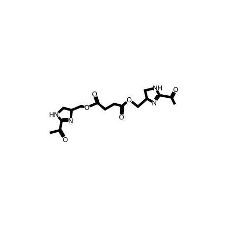 CC(=O)C1=NC(COC(=O)CCC(=O)OCC2CNC(C(C)=O)=N2)CN1